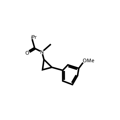 COc1cccc(C2CC2N(C)C(=O)C(C)C)c1